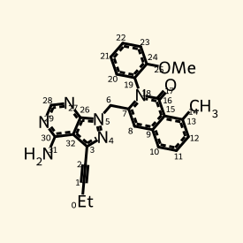 CCC#Cc1nn(Cc2cc3cccc(C)c3c(=O)n2-c2ccccc2OC)c2ncnc(N)c12